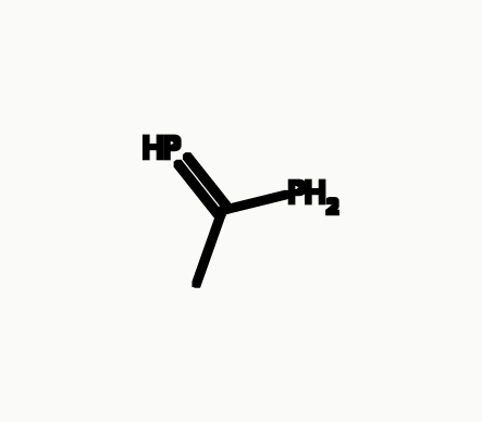 CC(=P)P